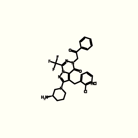 Cl.N[C@@H]1CCCN(c2nn3c(C(F)(F)F)nn(CC(=O)c4ccccc4)c(=O)c3c2Cc2ccccc2Cl)C1